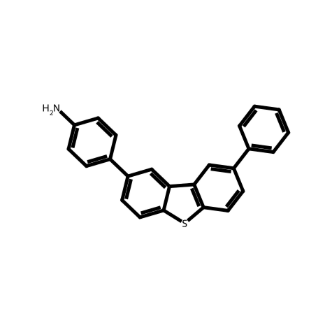 Nc1ccc(-c2ccc3sc4ccc(-c5ccccc5)cc4c3c2)cc1